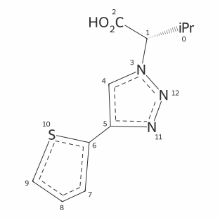 CC(C)[C@@H](C(=O)O)n1cc(-c2cccs2)nn1